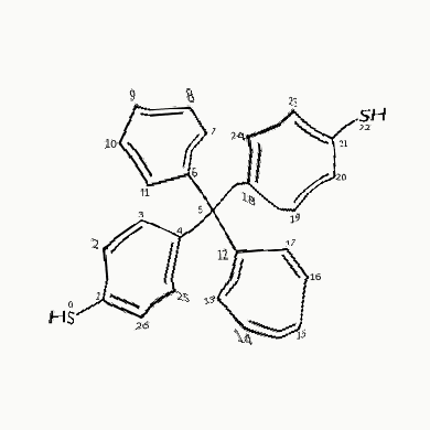 Sc1ccc(C(c2ccccc2)(c2ccccc2)c2ccc(S)cc2)cc1